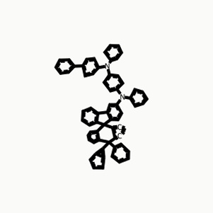 c1ccc(-c2ccc(N(c3ccccc3)c3ccc(N(c4ccccc4)c4ccc5c(c4)-c4ccccc4C54c5ccccc5C(c5ccccc5)(c5c6cccc5-6)c5ccccc54)cc3)cc2)cc1